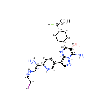 Bc1c(N)n2ncc(-c3ccc(/C(N)=C/N=C\CI)nc3)c2nc1[C@H]1CC[C@@H](C(F)C(=O)O)CC1